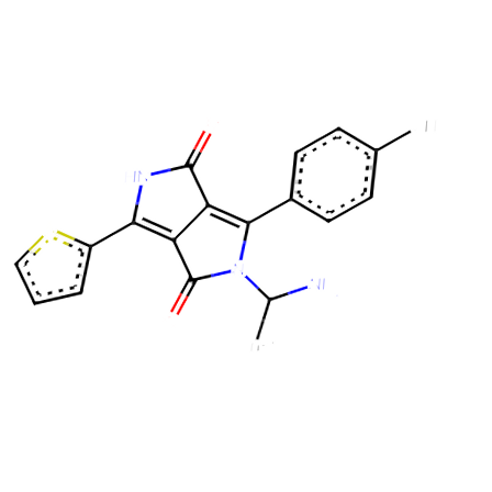 CCCC(N)N1C(=O)C2=C(c3cccs3)NC(=O)C2=C1c1ccc(C)cc1